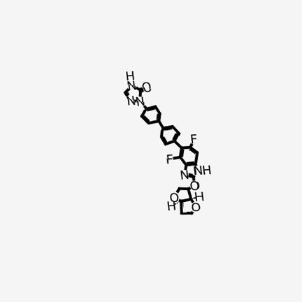 O=c1[nH]cnn1-c1ccc(-c2ccc(-c3c(F)cc4[nH]c(OC5CO[C@@H]6CCO[C@H]56)nc4c3F)cc2)cc1